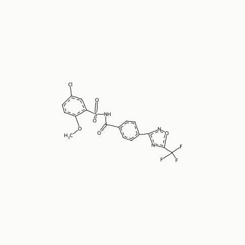 COc1ccc(Cl)cc1S(=O)(=O)NC(=O)c1ccc(-c2noc(C(F)(F)F)n2)cc1